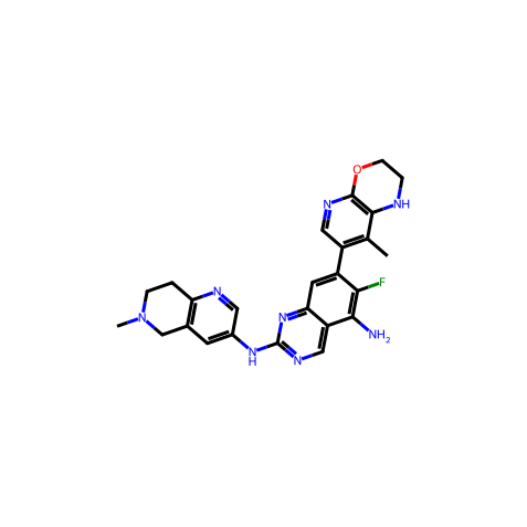 Cc1c(-c2cc3nc(Nc4cnc5c(c4)CN(C)CC5)ncc3c(N)c2F)cnc2c1NCCO2